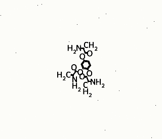 C=C(N)C(=O)Oc1ccc(OC(=O)C(=C)N)c(OC(=O)C(=C)N)c1